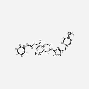 Cc1ccc(Cc2nsc(N3CCN(S(=O)(=O)CC=Cc4ccccc4)C(C)C3)n2)cc1